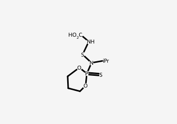 CC(C)N(SNC(=O)O)P1(=S)OCCCO1